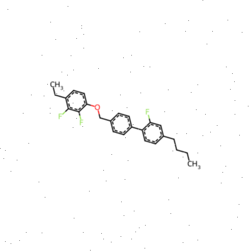 CCCCc1ccc(-c2ccc(COc3ccc(CC)c(F)c3F)cc2)c(F)c1